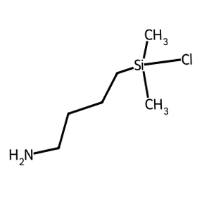 C[Si](C)(Cl)CCCCN